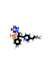 CC(=O)C=Cc1ccc(C(F)(F)C(O)(Cn2cnnn2)c2ccc(F)cc2F)nc1